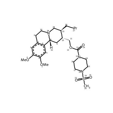 COc1cc2c(cc1OC)[C@H]1C[C@@H](COC(=O)N3CCN(S(C)(=O)=O)CC3)[C@H](CC(C)C)CN1CC2